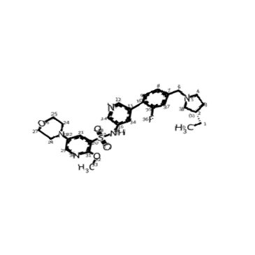 CC[C@H]1CCN(Cc2ccc(-c3cncc(NS(=O)(=O)c4cc(N5CCOCC5)cnc4OC)c3)c(F)c2)C1